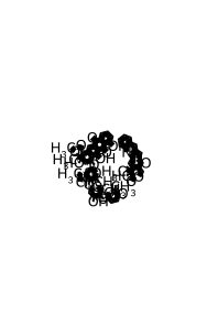 CC[C@@]1(O)C(=O)OCc2c1cc1n(c2=O)Cc2cc3ccccc3nc2-1.CC[C@@]1(O)C[C@H](O[C@H]2C[C@H](N(C)C)[C@H](O[C@H]3C[C@H](O)[C@H](O[C@H]4CCC(=O)[C@H](C)O4)[C@H](C)O3)[C@H](C)O2)c2c(cc3c(c2O)C(=O)c2c(O)cccc2C3=O)[C@H]1C(=O)OC